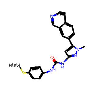 CNSc1ccc(NC(=O)Nc2cc(-c3ccc4ccncc4c3)n(C)n2)cc1